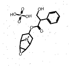 CN1C2CC(OC(=O)C(CO)c3ccccc3)CC1C1OC12.O=S(=O)(O)O